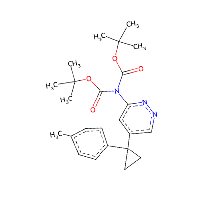 Cc1ccc(C2(c3cnnc(N(C(=O)OC(C)(C)C)C(=O)OC(C)(C)C)c3)CC2)cc1